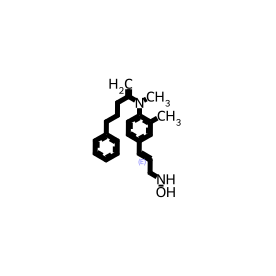 C=C(CCCc1ccccc1)N(C)c1ccc(/C=C/CNO)cc1C